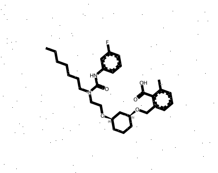 CCCCCCCN(CCO[C@@H]1CCC[C@H](OCc2cccc(C)c2C(=O)O)C1)C(=O)Nc1cccc(F)c1